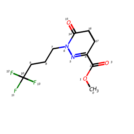 COC(=O)C1=NN(CCCC(F)(F)F)C(=O)CC1